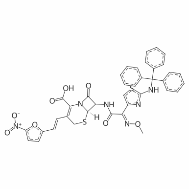 CO/N=C(/C(=O)NC1C(=O)N2C(C(=O)O)=C(/C=C/c3ccc([N+](=O)[O-])o3)CS[C@H]12)c1csc(NC(c2ccccc2)(c2ccccc2)c2ccccc2)n1